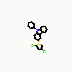 ClC1=C[SH](c2ccc3c(c2)c2ccccc2n3-c2ccccc2)C(Cl)=C1